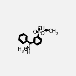 CCOP(C)(=O)c1cccc([C@H](NC)c2ccccc2)c1